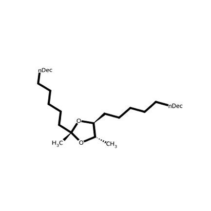 CCCCCCCCCCCCCCC[C@@H]1O[C@@](C)(CCCCCCCCCCCCCCC)O[C@H]1C